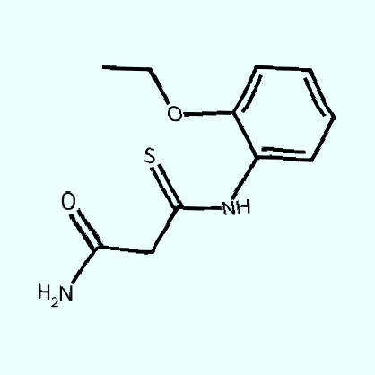 CCOc1ccccc1NC(=S)CC(N)=O